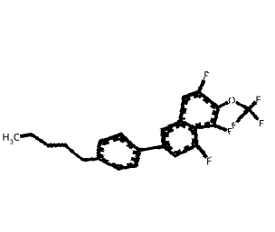 CCCCCc1ccc(-c2cc(F)c3c(F)c(OC(F)(F)F)c(F)cc3c2)cc1